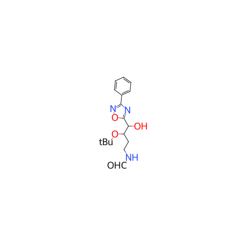 CC(C)(C)OC(CCNC=O)C(O)c1nc(-c2ccccc2)no1